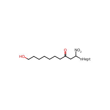 CCCCCCCC(CC(=O)CCCCCCCO)[N+](=O)[O-]